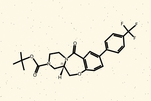 CC(C)(C)OC(=O)N1CCN2C(=O)c3cc(-c4ccc(C(F)(F)F)cc4)ccc3OC[C@@H]2C1